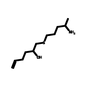 C=CCCC(O)CSCCCC(C)N